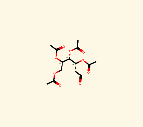 CC(=O)OC[C@@H](OC(C)=O)[C@H](OC(C)=O)[C@@H](CC=O)OC(C)=O